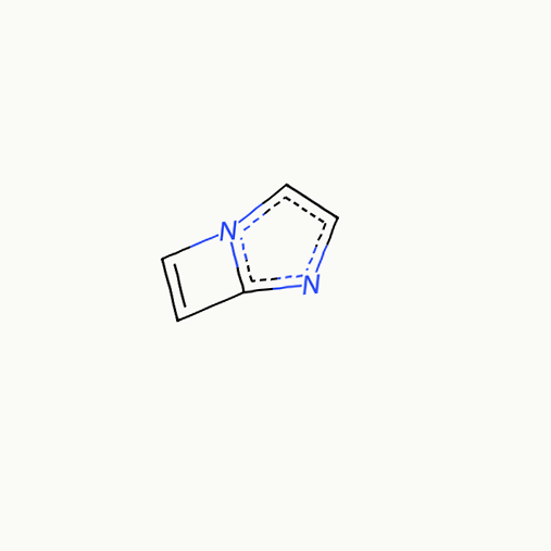 C1=Cn2ccnc21